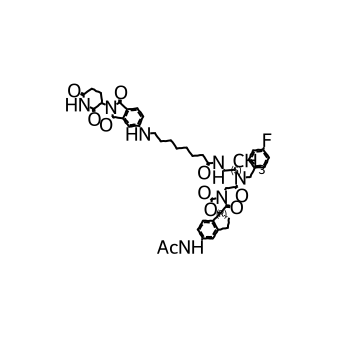 CC(=O)Nc1ccc2c(c1)CC[C@@]21OC(=O)N(CC(=O)N(Cc2ccc(F)cc2)[C@@H](C)CNC(=O)CCCCCCCNc2ccc3c(c2)C(=O)N(C2CCC(=O)NC2=O)C3=O)C1=O